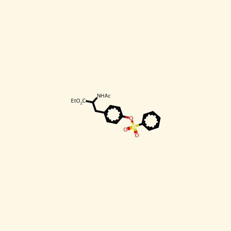 CCOC(=O)C(Cc1ccc(OS(=O)(=O)c2ccccc2)cc1)NC(C)=O